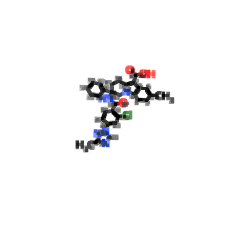 Cc1ccc2c(c1)c(C(=O)O)c1n2CC(NC(=O)c2ccc(-n3cnc(C)n3)cc2Cl)(c2ccccc2)CC1